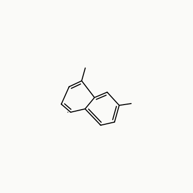 Cc1ccc2[c]ccc(C)c2c1